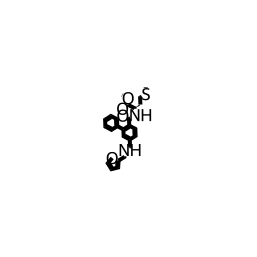 COC(=O)[C@H](CCSC)NC(=O)c1ccc(CNCc2ccco2)cc1-c1ccccc1